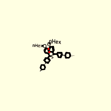 CCCCCCOc1ccc(C(SC(c2ccc(OCCCCCC)cc2)c2ccc([C@H]3CC[C@H](C)CC3)cc2)c2ccc([C@H]3CC[C@H](C)CC3)cc2)cc1